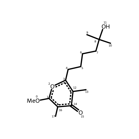 COc1oc(CCCCC(C)(C)O)c(C)c(=O)c1C